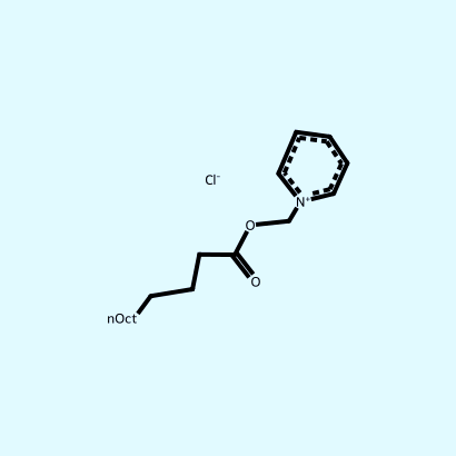 CCCCCCCCCCCC(=O)OC[n+]1ccccc1.[Cl-]